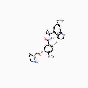 COc1cc(C2(NC(=O)c3cc(OC[C@@H]4CCN4)c([N+](=O)[O-])cc3C)CC2)c2cccnc2c1